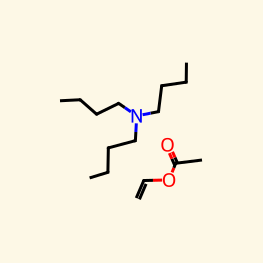 C=COC(C)=O.CCCCN(CCCC)CCCC